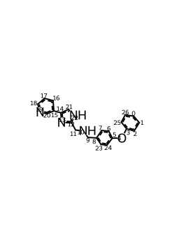 c1ccc(Oc2ccc(CNCc3nc(-c4cccnc4)c[nH]3)cc2)cc1